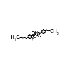 CCCCCCc1ccc(C(=O)Oc2cnc(-c3ccc(CCCC)cc3)cn2)c(F)c1